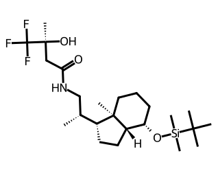 C[C@H](CNC(=O)C[C@](C)(O)C(F)(F)F)[C@H]1CC[C@H]2[C@@H](O[Si](C)(C)C(C)(C)C)CCC[C@]12C